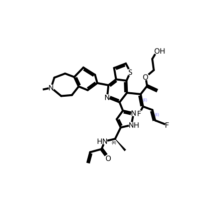 C=CC(=O)N[C@H](C)c1cc(-c2nc(-c3ccc4c(c3)CCN(C)CC4)c3ccsc3c2/C(C(=C)OCCO)=C(F)/C=C/F)n[nH]1